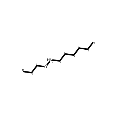 CCCCCCNOCCC